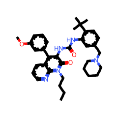 CCCCn1c(=O)c(NC(=O)Nc2cc(CN3CCCCC3)ccc2C(C)(C)C)c(-c2cccc(OC)c2)c2cccnc21